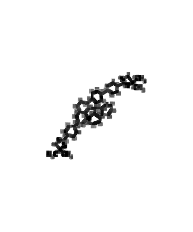 CC1(C)CSC(c2ccc(-c3ccc4c(c3)C(c3ccccc3)(c3ccccc3)c3c-4ccc4cc(-c5ccc(C6=NC(C)(C)CS6)cc5)ccc34)cc2)=N1